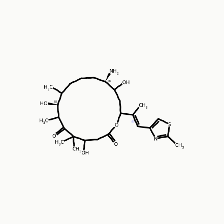 C/C(=C\c1csc(C)n1)C1CC(O)[C@H](N)CCCC(C)[C@H](O)C(C)C(=O)C(C)(C)C(O)CC(=O)O1